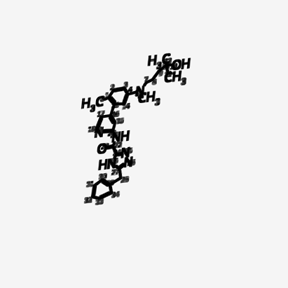 Cc1ccc(N(C)CCCC(C)(C)O)cc1-c1ccnc(NC(=O)c2nnc(Cc3ccccc3)[nH]2)c1